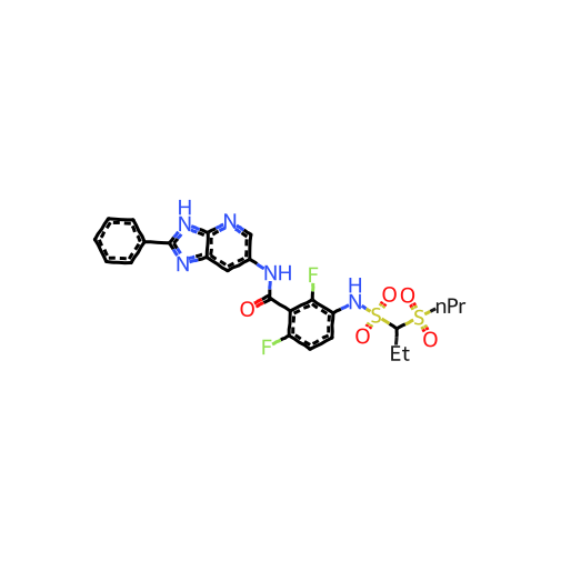 CCCS(=O)(=O)C(CC)S(=O)(=O)Nc1ccc(F)c(C(=O)Nc2cnc3[nH]c(-c4ccccc4)nc3c2)c1F